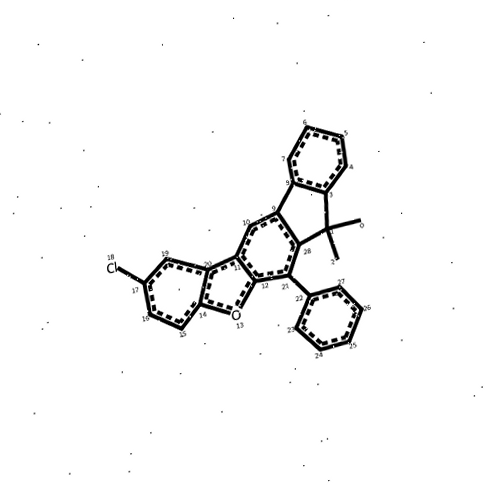 CC1(C)c2ccccc2-c2cc3c(oc4ccc(Cl)cc43)c(-c3ccccc3)c21